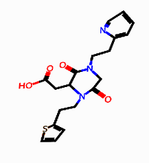 O=C(O)CC1C(=O)N(CCc2ccccn2)CC(=O)N1CCc1cccs1